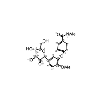 CNC(=O)c1ccc(Oc2cc(C3O[C@H](CO)[C@@H](O)[C@H](O)[C@@H]3O)ccc2OC)cc1